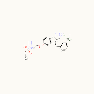 CNCC1Cc2ccc(OCCNS(=O)(=O)CC3CC3)cc2C1Cc1cccc(C(F)(F)F)c1